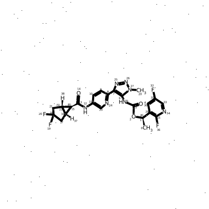 C[C@@H](OC(=O)Nc1c(-c2ccc(NC(=O)[C@H]3[C@@H]4CC(F)(F)C[C@@H]43)cn2)nnn1C)c1cc(F)cnc1F